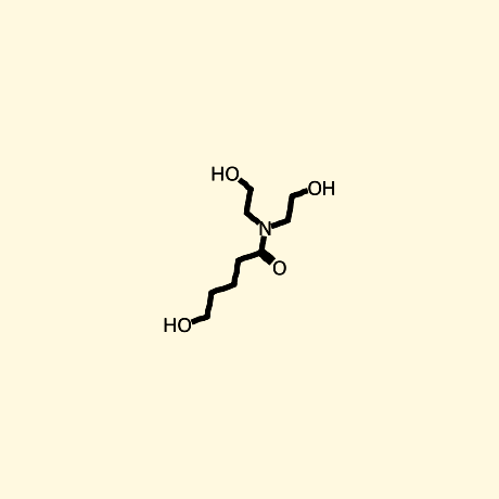 O=C(CCCCO)N(CCO)CCO